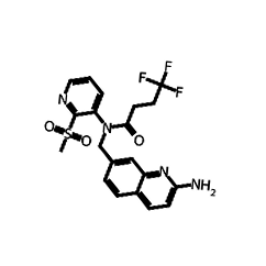 CS(=O)(=O)c1ncccc1N(Cc1ccc2ccc(N)nc2c1)C(=O)CCC(F)(F)F